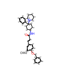 COc1cc(C=CC(=O)NC2CCC(c3ccccc3)(N3CCCCC3)CC2)ccc1OCc1ccccc1